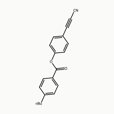 CCCCc1ccc(C(=O)Oc2ccc(C#CC#N)cc2)cc1